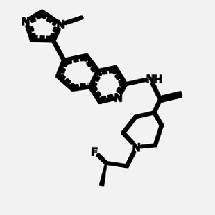 C=C(Nc1cc2cc(-c3cncn3C)ccc2cn1)C1CCN(C[C@@H](C)F)CC1